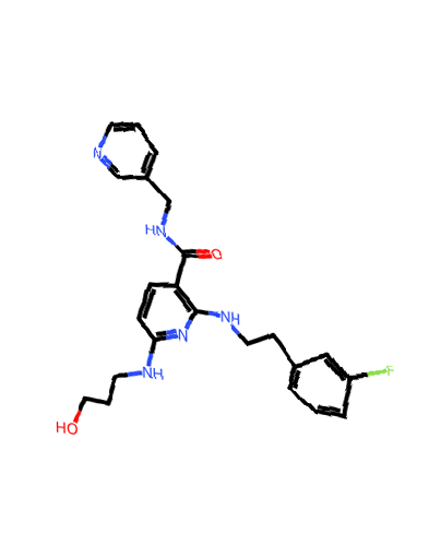 O=C(NCc1cccnc1)c1ccc(NCCCO)nc1NCCc1cccc(F)c1